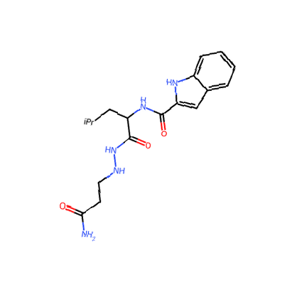 CC(C)CC(NC(=O)c1cc2ccccc2[nH]1)C(=O)NNCCC(N)=O